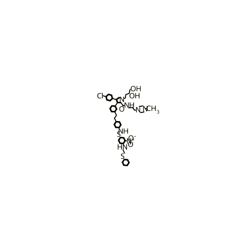 CN1CCN(CCCNC(=O)c2c(-c3cccc(CCc4ccc(NSc5ccc(NCCSc6ccccc6)c([N+](=O)[O-])c5)cc4)c3)c(-c3ccc(Cl)cc3)cn2CCC(O)CO)CC1